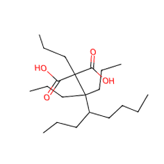 CCCCC(CCC)C(CCC)(CCC)C(CCC)(C(=O)O)C(=O)O